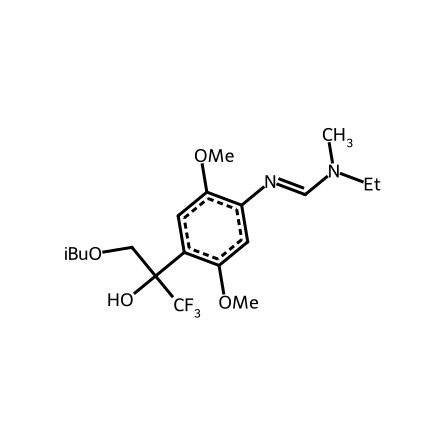 CCN(C)C=Nc1cc(OC)c(C(O)(COCC(C)C)C(F)(F)F)cc1OC